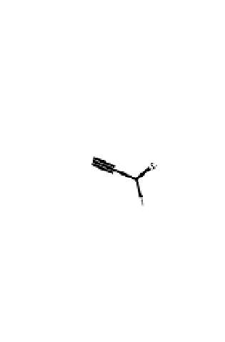 C#CC([S])I